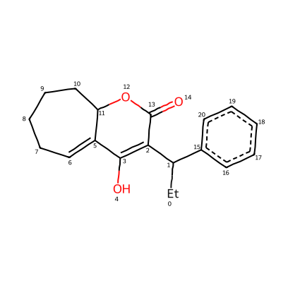 CCC(C1=C(O)C2=CCCCCC2OC1=O)c1ccccc1